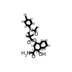 CC(=O)N(CC(C)(C)C(=O)Oc1cc(C(N)=O)c(O)c2ccccc12)c1ccc(C)cc1